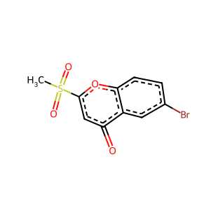 CS(=O)(=O)c1cc(=O)c2cc(Br)ccc2o1